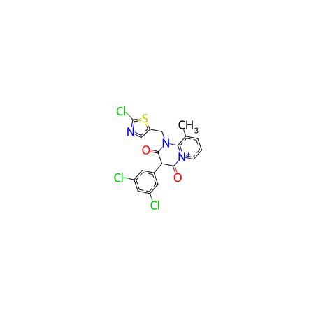 Cc1ccc[n+]2c1N(Cc1cnc(Cl)s1)C(=O)C(c1cc(Cl)cc(Cl)c1)C2=O